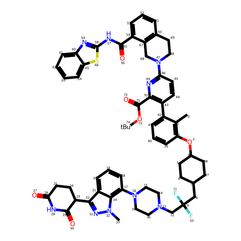 Cc1c(OC2CCC(CC(F)(F)CN3CCN(c4cccc5c(C6CCC(=O)NC6=O)nn(C)c45)CC3)CC2)cccc1-c1ccc(N2CCc3cccc(C(=O)Nc4nc5ccccc5s4)c3C2)nc1C(=O)OC(C)(C)C